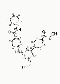 CCc1nc(Nc2ccc(C(=O)Nc3ccccc3)cn2)nc(N2CCN(C(=O)CO)CC2)n1